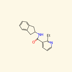 CCc1ncccc1C(=O)NC1Cc2ccccc2C1